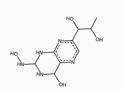 CC(O)C(O)c1cnc2c(n1)NC(NO)NC2O